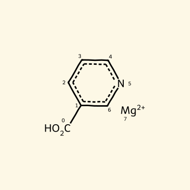 O=C(O)c1cccnc1.[Mg+2]